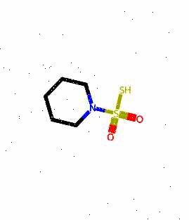 O=S(=O)(S)N1CCCCC1